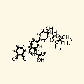 CC1(NC(=O)OC(C)(C)C)CCN(c2cnc3c(-c4cccc(Cl)c4Cl)nn(C(=O)O)c3c2)CC1